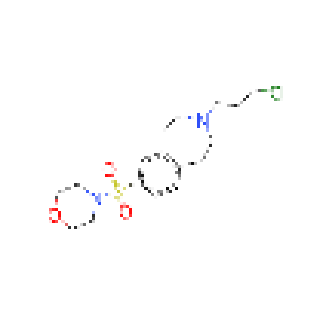 O=S(=O)(c1ccc2c(c1)CCN(CCCCl)CC2)N1CCOCC1